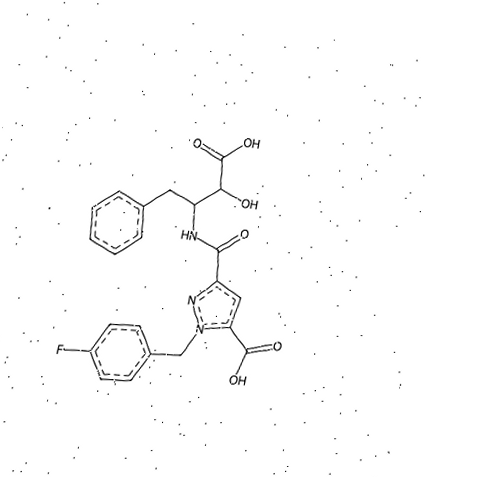 O=C(NC(Cc1ccccc1)C(O)C(=O)O)c1cc(C(=O)O)n(Cc2ccc(F)cc2)n1